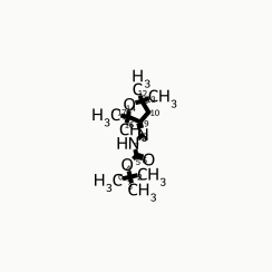 CC(C)(C)OC(=O)NN=C1CC(C)(C)OC1(C)C